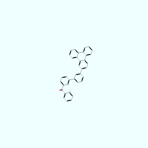 O=c1c2ccccc2oc2c(-c3cccc(-c4ccc5c6ccccc6c6ccccc6c5c4)c3)cccc12